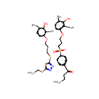 CCCc1c(OCCCS(=O)(=O)c2ccc(C(=O)CCC(=O)O)cc2)ccc(C(C)=O)c1O.CCCc1c(OCCCSc2nnc(SCC(=O)O)s2)ccc(C(C)=O)c1O